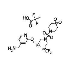 NCc1ccnc(OC[C@H]2C[C@H](C(F)(F)F)CN(S(=O)(=O)N3CCS(=O)(=O)CC3)C2)c1.O=C(O)C(F)(F)F